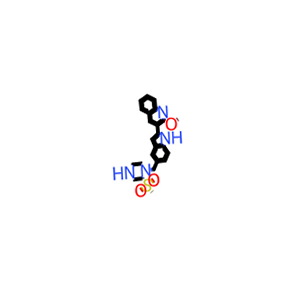 COc1nc2ccccc2cc1-c1cc2cc(CN3CCNCC3S(C)(=O)=O)ccc2[nH]1